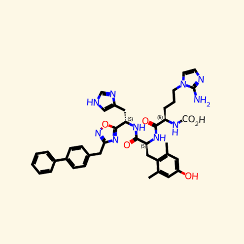 Cc1cc(O)cc(C)c1C[C@H](NC(=O)[C@@H](CCCn1ccnc1N)NC(=O)O)C(=O)N[C@@H](Cc1c[nH]cn1)c1nc(Cc2ccc(-c3ccccc3)cc2)no1